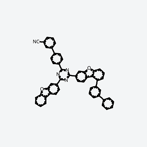 N#Cc1cccc(-c2ccc(-c3nc(-c4ccc5c(c4)oc4ccccc45)nc(-c4ccc5c(c4)oc4cccc(-c6cccc(-c7ccccc7)c6)c45)n3)cc2)c1